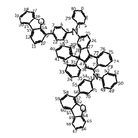 c1ccc(N(c2ccc(-c3cccc4c3oc3ccccc34)cc2)c2ccc3c(c2)C(c2ccccc2)(c2ccccc2)c2cc(N(c4ccccc4)c4ccc(-c5cccc6c5oc5ccccc56)cc4)c4ccccc4c2-3)cc1